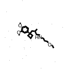 CCOCCCNCCC(C)CC1(c2ccc(OC)c(OC)c2)CCC1